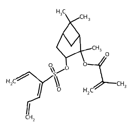 C=C/C=C(\C=C)S(=O)(=O)OC1CC2CC(C2(C)C)C1(C)OC(=O)C(=C)C